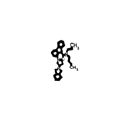 CCCCN(CCC)C(=O)C1c2ccccc2-c2cccc(N3CCC(N4Cc5ccccc5C4)C3)c21